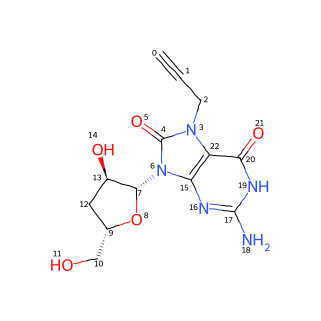 C#CCn1c(=O)n([C@@H]2O[C@H](CO)C[C@H]2O)c2nc(N)[nH]c(=O)c21